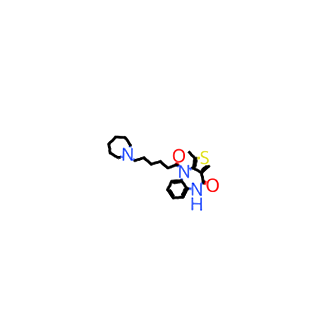 Cc1scc2c1N(C(=O)CCCCCN1CCCCCC1)c1ccccc1NC2=O